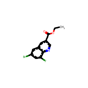 CCOC(=O)c1cnc2c(F)cc(Br)cc2c1